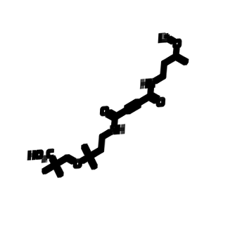 CCOC(C)CCNC(=O)C#CC(=O)NCCC(C)(C)OCC(C)(C)C(=O)O